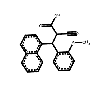 CSc1ccccc1C(c1cccc2ccccc12)C(C#N)C(=O)O